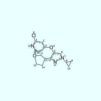 Clc1cc(Oc2cn(C3CC3)nc2C2CCOC2)ccn1